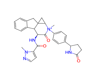 Cn1nccc1C(=O)N[C@@H]1C(=O)[N+](C)(c2ccc(C3CCC(=O)N3)cc2)C2CC23Cc2ccccc2C13